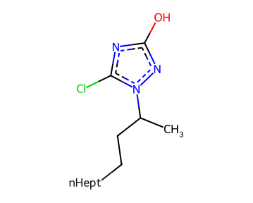 CCCCCCCCCC(C)n1nc(O)nc1Cl